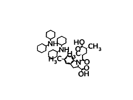 C1CCC(NC2CCCCC2)CC1.C1CCC(NC2CCCCC2)CC1.Cc1ccc2c(c1)CC(C(=O)O)N2C(=O)[C@H](C)C[C@@H](C)C(=O)O